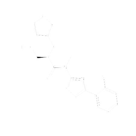 CN(C(=O)[C@@H](CC(=O)O)CC1CCOC1)c1nc(-c2ccccc2Cl)cs1